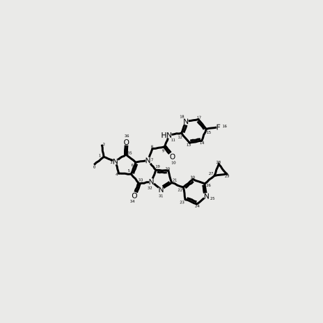 CC(C)N1Cc2c(n(CC(=O)Nc3ccc(F)cn3)c3cc(-c4ccnc(C5CC5)c4)nn3c2=O)C1=O